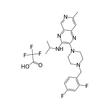 Cc1cc2nc(N3CCN(Cc4ccc(F)cc4F)CC3)c(NC(C)C)nc2cn1.O=C(O)C(F)(F)F